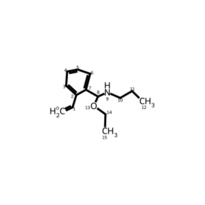 C=Cc1ccccc1C(NCCC)OCC